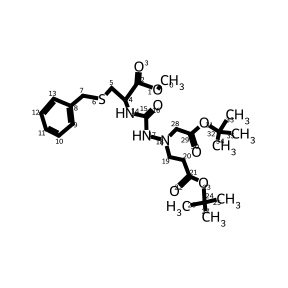 COC(=O)C(CSCc1ccccc1)NC(=O)NN(CCC(=O)OC(C)(C)C)CC(=O)OC(C)(C)C